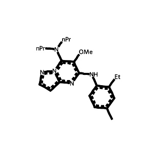 CCCN(CCC)c1c(OC)c(Nc2ccc(C)cc2CC)nc2ccnn12